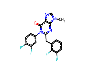 Cn1cnc2c(=O)n(-c3ccc(F)c(F)c3)c(Cc3cccc(F)c3F)nc21